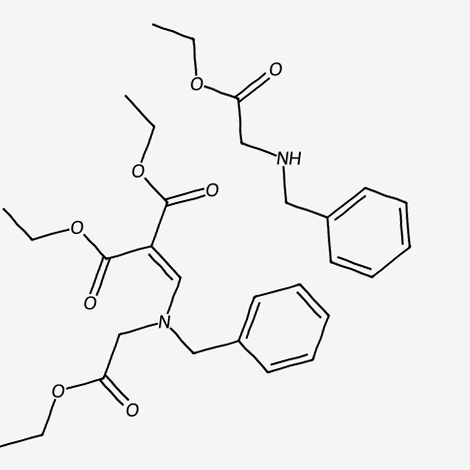 CCOC(=O)CN(C=C(C(=O)OCC)C(=O)OCC)Cc1ccccc1.CCOC(=O)CNCc1ccccc1